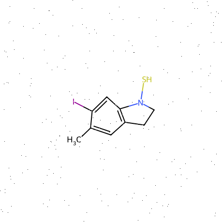 Cc1cc2c(cc1I)N(S)CC2